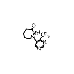 O=C1CCCCN(c2cn[c]nc2C(F)(F)F)N1